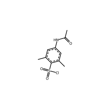 CC(=O)Nc1cc(C)c(S(=O)(=O)Cl)c(C)c1